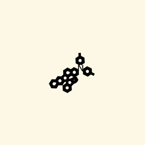 Cc1ccc(N(c2ccc(C)cc2)c2ccc3c4c(ccc3c2)-c2cc3ccccc3cc2C42c3ccccc3-c3ccccc32)cc1